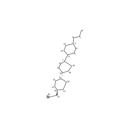 CCCC1CCC(C2CCC([C@H]3CC[C@H](CBr)CC3)CC2)CC1